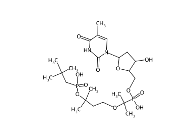 Cc1cn(C2CC(O)C(COP(=O)(O)C(C)(C)OCCC(C)(C)OP(=O)(O)CC(C)(C)C)O2)c(=O)[nH]c1=O